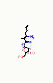 C=CCC/C(N)=C(\C)C(=N)N[C@@H]1OC(CO)[C@@H](O)[C@H]1F